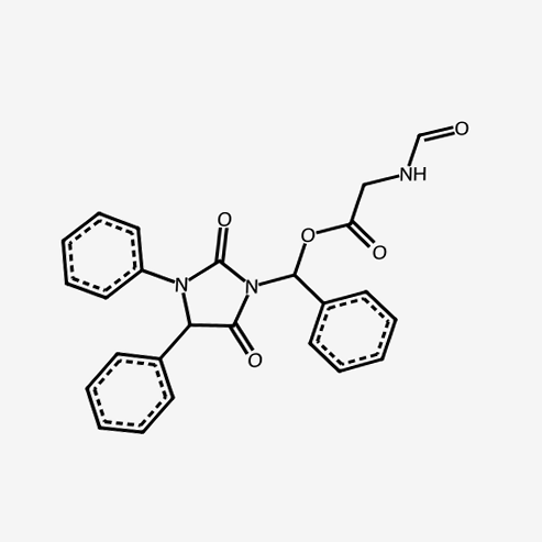 O=CNCC(=O)OC(c1ccccc1)N1C(=O)C(c2ccccc2)N(c2ccccc2)C1=O